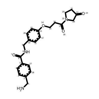 NCc1ccc(C(=O)NCc2ccc(OCCC(=O)N3CCC(=O)C3)cc2)cc1